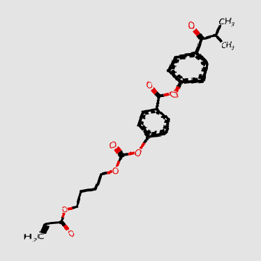 C=CC(=O)OCCCCOC(=O)Oc1ccc(C(=O)Oc2ccc(C(=O)C(C)C)cc2)cc1